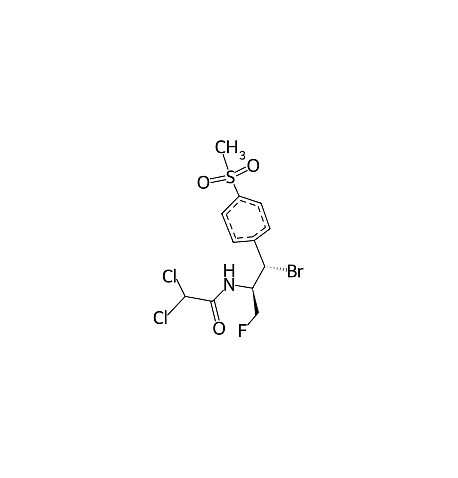 CS(=O)(=O)c1ccc([C@H](Br)[C@@H](CF)NC(=O)C(Cl)Cl)cc1